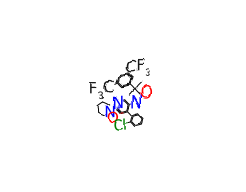 CN(C(=O)C(C)(C)c1cc(C(F)(F)F)cc(C(F)(F)F)c1)c1cnc([N+]2([O-])CCCCC2)cc1-c1ccccc1Cl